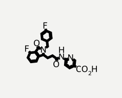 O=C(CCC1C2=C(C(=O)N1CC1C=CC(F)=CC1)C(F)CC=C2)Nc1ccc(C(=O)O)cn1